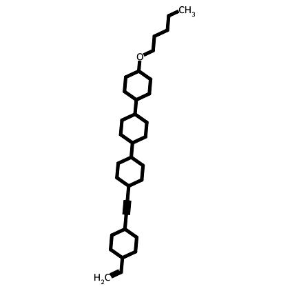 C=CC1CCC(C#CC2CCC(C3CCC(C4CCC(OCCCCC)CC4)CC3)CC2)CC1